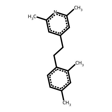 Cc1ccc(CCc2cc(C)nc(C)c2)c(C)c1